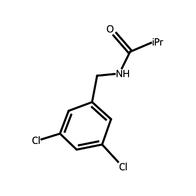 CC(C)C(=O)NCc1cc(Cl)cc(Cl)c1